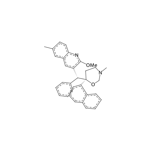 COc1nc2ccc(C)cc2cc1[C@@H](c1ccccc1)[C@@]1(c2cccc3ccccc23)CCN(C)CO1